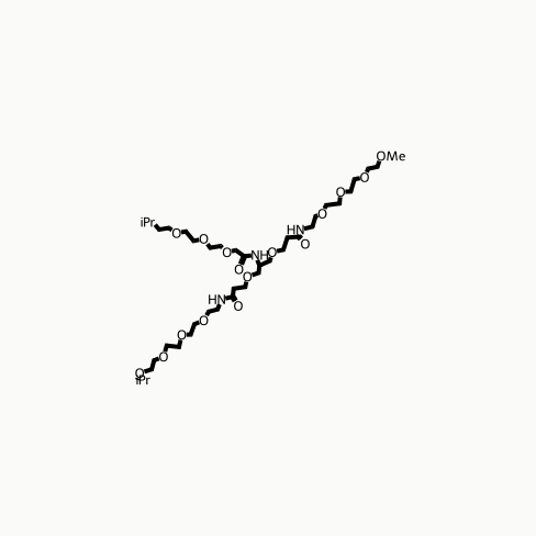 COCCOCCOCCOCCNC(=O)CCOCC(COCCC(=O)NCCOCCOCCOCCOC(C)C)NC(=O)COCCOCCOCCC(C)C